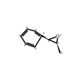 [CH2][C@@H]1O[C@@H]1c1ccccc1